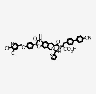 N#Cc1ccc(-c2ccc(C[C@H](NC(=O)C3Cc4cc5c(cc4CN3C(=O)c3cccs3)O[C@@H](c3ccc(OCc4cnc(Cl)c(Cl)c4)cc3)C(=O)N5)C(=O)O)cc2)cc1